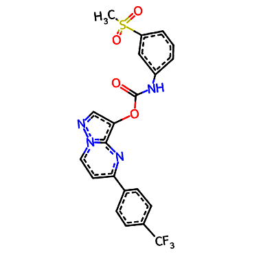 CS(=O)(=O)c1cccc(NC(=O)Oc2cnn3ccc(-c4ccc(C(F)(F)F)cc4)nc23)c1